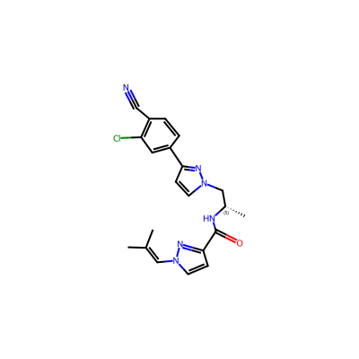 CC(C)=Cn1ccc(C(=O)N[C@@H](C)Cn2ccc(-c3ccc(C#N)c(Cl)c3)n2)n1